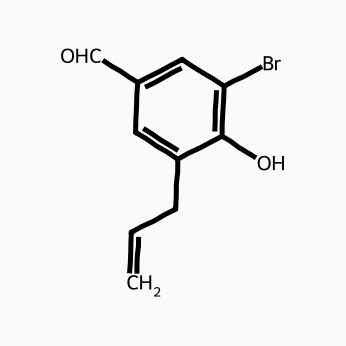 C=CCc1cc(C=O)cc(Br)c1O